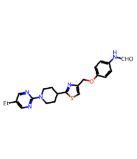 CCc1cnc(N2CCC(c3nc(COc4ccc(NC=O)cc4)cs3)CC2)nc1